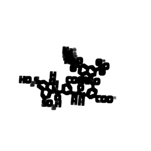 O=C(Nc1cc(C(=O)[O-])cc(C(=O)Nc2cc(S(=O)(=O)[O-])cc3cc(S(=O)(=O)[O-])cc(O)c23)c1)Nc1cc(C(=O)[O-])cc(C(=O)Nc2cc(S(=O)(=O)O)cc3cc(S(=O)(=O)O)cc(O)c23)c1.[Na+].[Na+].[Na+].[Na+]